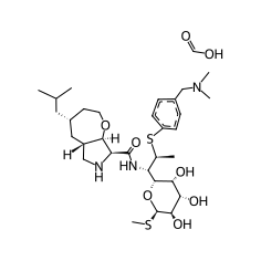 CS[C@H]1O[C@H]([C@H](NC(=O)[C@H]2NC[C@@H]3C[C@H](CC(C)C)CCO[C@H]32)[C@H](C)Sc2ccc(CN(C)C)cc2)[C@H](O)[C@H](O)[C@H]1O.O=CO